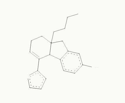 CCCCC12CCC=C(c3cccs3)C1c1ccc(O)cc1C2